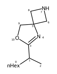 CCCCCCC(C)C1=NC2(CNC2)CO1